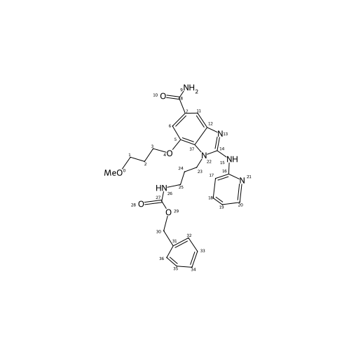 COCCCOc1cc(C(N)=O)cc2nc(Nc3ccccn3)n(CCCNC(=O)OCc3ccccc3)c12